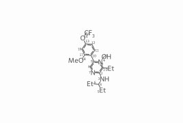 CCc1c(NC(CC)CC)ncc(-c2ccc(OC(F)(F)F)cc2OC)[n+]1O